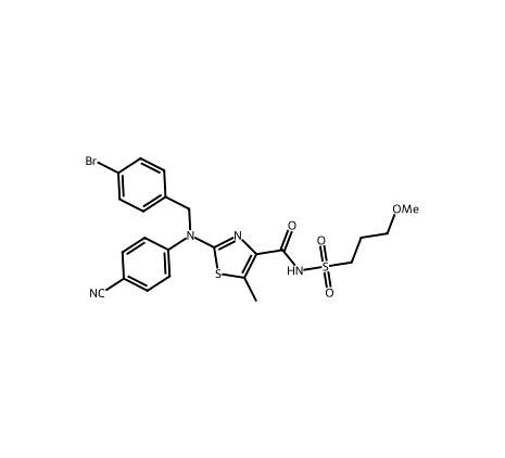 COCCCS(=O)(=O)NC(=O)c1nc(N(Cc2ccc(Br)cc2)c2ccc(C#N)cc2)sc1C